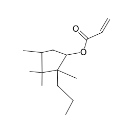 C=CC(=O)OC1CC(C)C(C)(C)C1(C)CCC